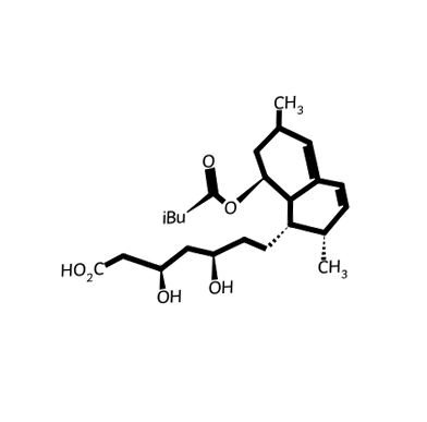 CC[C@H](C)C(=O)O[C@H]1CC(C)C=C2C=C[C@H](C)[C@H](CC[C@@H](O)C[C@@H](O)CC(=O)O)C21